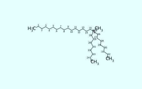 CCCCCCCCCCCCCCCC[N+](C)(CCCCCCCC)CCCCCCCC